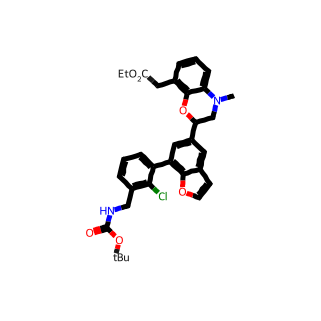 CCOC(=O)Cc1cccc2c1OC(c1cc(-c3cccc(CNC(=O)OC(C)(C)C)c3Cl)c3occc3c1)CN2C